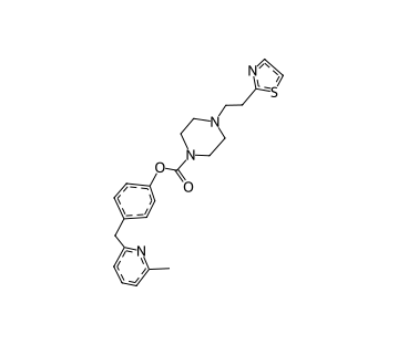 Cc1cccc(Cc2ccc(OC(=O)N3CCN(CCc4nccs4)CC3)cc2)n1